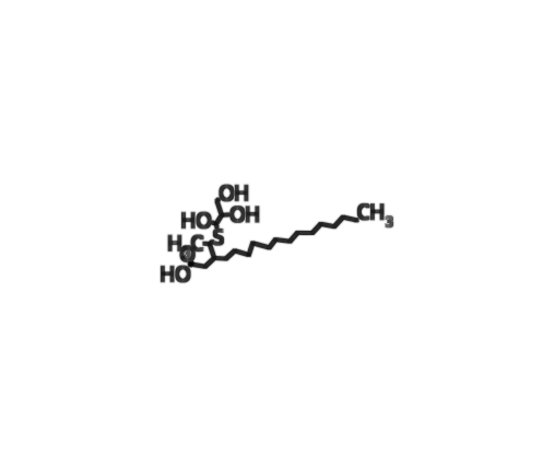 CCCCCCCCCCCCCCC(CC(=O)O)C(C)SC(O)C(O)CO